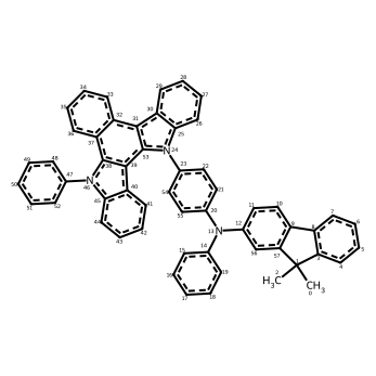 CC1(C)c2ccccc2-c2ccc(N(c3ccccc3)c3ccc(-n4c5ccccc5c5c6ccccc6c6c(c7ccccc7n6-c6ccccc6)c54)cc3)cc21